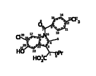 CCCC(C(=O)O)c1c(C)n(C(=O)c2ccc(C(F)(F)F)cc2)c2cc(Cl)c(O)cc12